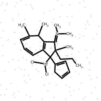 CCCC1(C)C(=[Si](C)C)C2=C(C=CC=C(C)C2C)[C]1(C1=CC=CC1)[Hf]([Cl])[Cl]